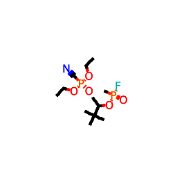 CC(OP(C)(=O)F)C(C)(C)C.CCOP(=O)(C#N)OCC